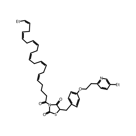 CC/C=C\C/C=C\C/C=C\C/C=C\C/C=C\C/C=C\CCCC(=O)N1C(=O)SC(Cc2ccc(OCCc3ccc(CC)cn3)cc2)C1=O